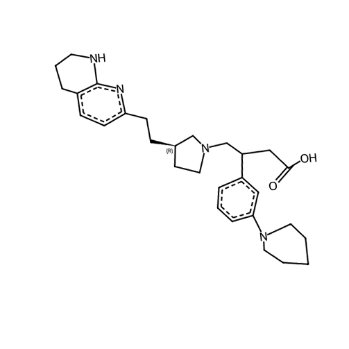 O=C(O)CC(CN1CC[C@@H](CCc2ccc3c(n2)NCCC3)C1)c1cccc(N2CCCCC2)c1